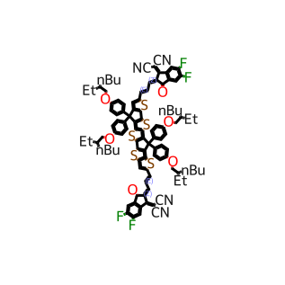 CCCCC(CC)COc1ccc(C2(c3ccc(OCC(CC)CCCC)cc3)c3cc(/C=C/C=C4\C(=O)c5cc(F)c(F)cc5C4=C(C#N)C#N)sc3-c3sc4c5c(sc4c32)-c2sc3cc(/C=C/C=C4\C(=O)c6cc(F)c(F)cc6C4=C(C#N)C#N)sc3c2C5(c2ccc(OCC(CC)CCCC)cc2)c2ccc(OCC(CC)CCCC)cc2)cc1